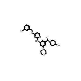 O=C(c1cc(Nc2nccc(NCc3cccc(Cl)c3)n2)cc(N2CCOCC2)c1)N1CCC(O)CC1